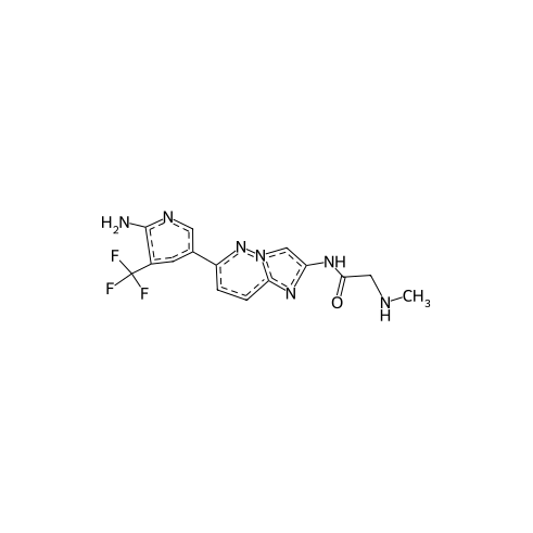 CNCC(=O)Nc1cn2nc(-c3cnc(N)c(C(F)(F)F)c3)ccc2n1